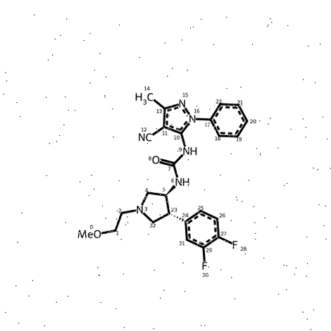 COCCN1C[C@@H](NC(=O)Nc2c(C#N)c(C)nn2-c2ccccc2)[C@H](c2ccc(F)c(F)c2)C1